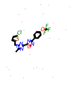 Cc1nc(-c2nc(-c3ccc(OC(F)(F)F)cc3)no2)nn1Cc1ccc(Cl)s1